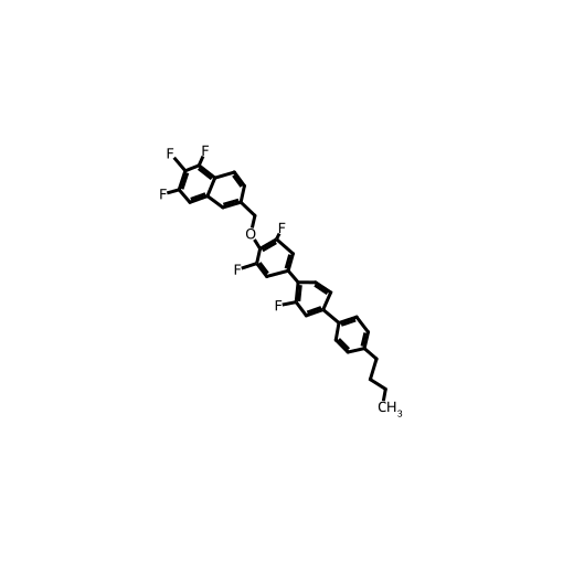 CCCCc1ccc(-c2ccc(-c3cc(F)c(OCc4ccc5c(F)c(F)c(F)cc5c4)c(F)c3)c(F)c2)cc1